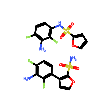 Nc1c(F)ccc(-c2ccoc2S(N)(=O)=O)c1F.Nc1c(F)ccc(NS(=O)(=O)c2ccco2)c1F